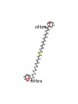 CCCCCCC(CCCCCCCCCCCCCSCCCCCCCCCCCCCC(CCCCCC)C1CCCCO1)C1CCCCO1